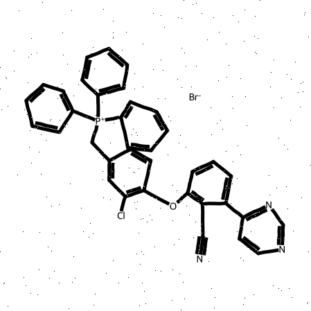 N#Cc1c(Oc2ccc(C[P+](c3ccccc3)(c3ccccc3)c3ccccc3)cc2Cl)cccc1-c1ccncn1.[Br-]